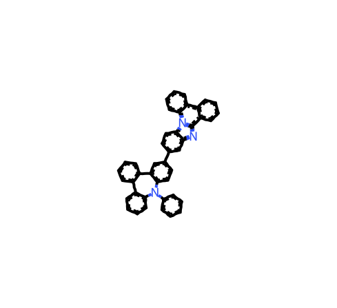 c1ccc(N2c3ccccc3-c3ccccc3-c3cc(-c4ccc5c(c4)nc4c6ccccc6c6ccccc6n54)ccc32)cc1